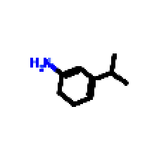 CC(C)C1=CCCC(N)=C1